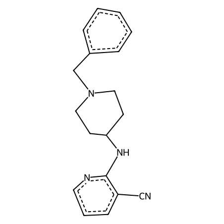 N#Cc1cccnc1NC1CCN(Cc2ccccc2)CC1